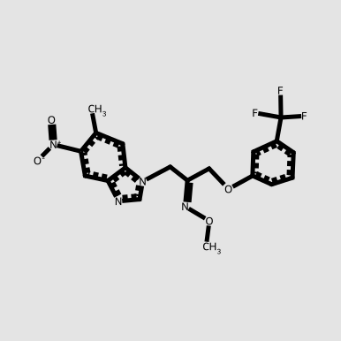 CON=C(COc1cccc(C(F)(F)F)c1)Cn1cnc2cc([N+](=O)[O-])c(C)cc21